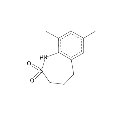 Cc1cc(C)c2c(c1)CCCS(=O)(=O)N2